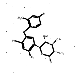 CC[C@H]1O[C@@H](c2cc(Cc3ccc(Br)cc3C)c(C(C)C)cc2C)[C@H](OC(C)=O)[C@@H](OC(C)=O)[C@@H]1C